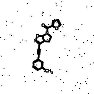 Cc1cccc(C#CC2=NOC3C2CCN3C(=O)c2ccco2)c1